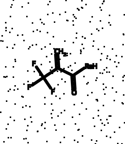 C=C([C](=O)[RaH])C(F)(F)F